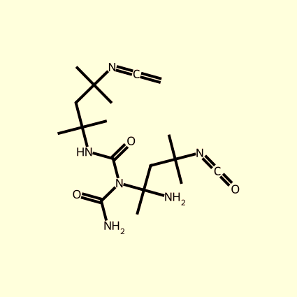 C=C=NC(C)(C)CC(C)(C)NC(=O)N(C(N)=O)C(C)(N)CC(C)(C)N=C=O